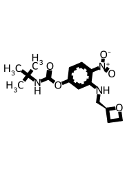 CC(C)(C)NC(=O)Oc1ccc([N+](=O)[O-])c(NC[C@@H]2CCO2)c1